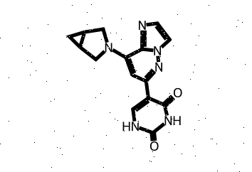 O=c1[nH]cc(-c2cc(N3CC4CC4C3)c3nccn3n2)c(=O)[nH]1